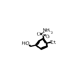 CCc1ccc(CO)cc1S(N)(=O)=O